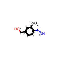 N=Nc1ccc(CO)cc1[N+](=O)[O-]